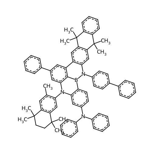 Cc1cc2c(cc1N1c3cc(N(c4ccccc4)c4ccccc4)ccc3B3c4c(cc(-c5ccccc5)cc41)-c1cc4c(cc1N3c1ccc(-c3ccccc3)cc1)C(C)(C)c1ccccc1C4(C)C)C(C)(C)CCC2(C)C